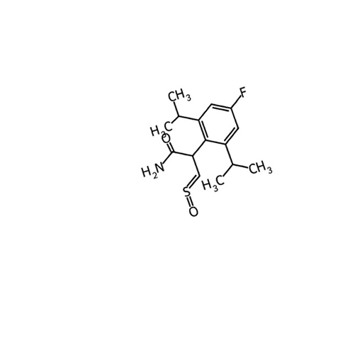 CC(C)c1cc(F)cc(C(C)C)c1C(C=S=O)C(N)=O